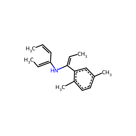 C/C=C\C(=C/C)N/C(=C/C)c1cc(C)ccc1C